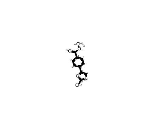 COC(=O)c1ccc(-c2cnc(Cl)o2)cc1